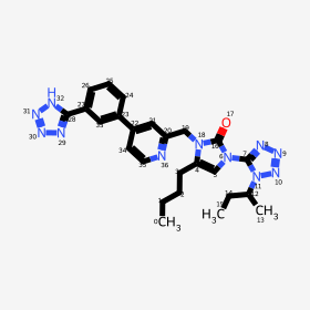 CCCCc1cn(-c2nnnn2C(C)CC)c(=O)n1Cc1cc(-c2cccc(-c3nnn[nH]3)c2)ccn1